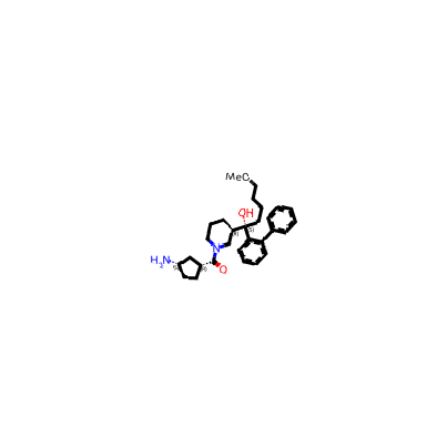 COCCCC[C@@](O)(c1ccccc1-c1ccccc1)[C@@H]1CCCN(C(=O)[C@@H]2CC[C@H](N)C2)C1